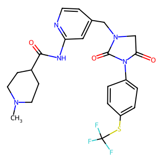 CN1CCC(C(=O)Nc2cc(CN3CC(=O)N(c4ccc(SC(F)(F)F)cc4)C3=O)ccn2)CC1